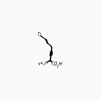 NC(C#CCCCCl)C(=O)O